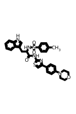 Cc1ccc(S(=O)(=O)NC(Cc2c[nH]c3ccccc23)C(=O)Nc2nc(-c3ccc(N4CCOCC4)cc3)cs2)cc1